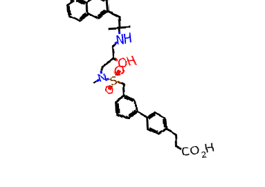 CN(CC(O)CNC(C)(C)Cc1ccc2ccccc2c1)S(=O)(=O)Cc1cccc(-c2ccc(CCC(=O)O)cc2)c1